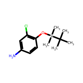 CC(C)(C)[Si](C)(C)Oc1ccc(N)cc1Cl